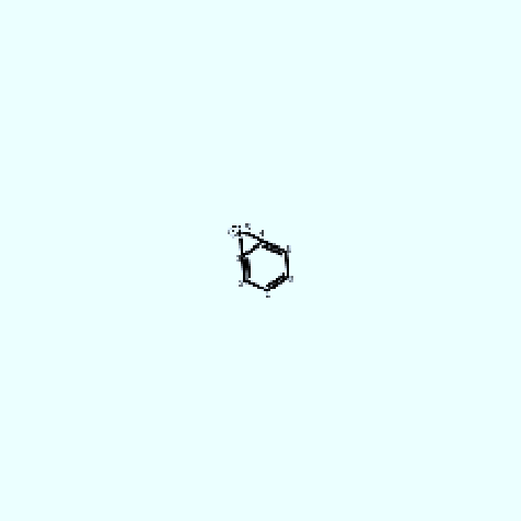 c1ccc2c(c1)[Si]2